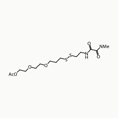 CNC(=O)C(=O)NCCSSCCCOCCOCCOC(C)=O